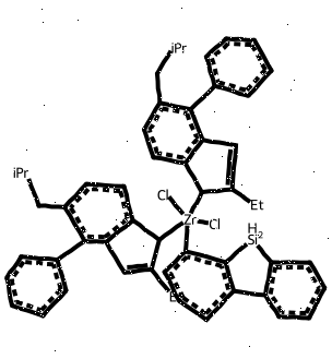 CCC1=Cc2c(ccc(CC(C)C)c2-c2ccccc2)[CH]1[Zr]([Cl])([Cl])([c]1cccc2c1[SiH2]c1ccccc1-2)[CH]1C(CC)=Cc2c1ccc(CC(C)C)c2-c1ccccc1